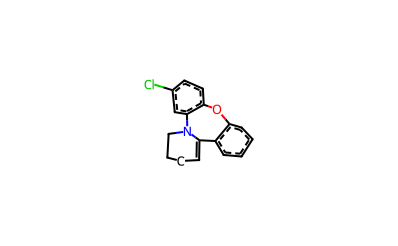 Clc1ccc2c(c1)N1CCCC=C1c1ccccc1O2